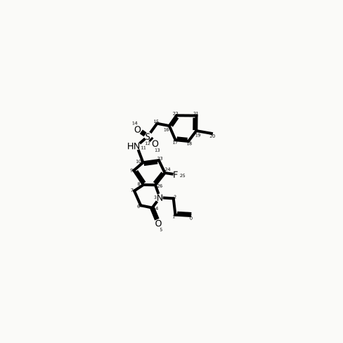 C=CCN1C(=O)CCc2cc(NS(=O)(=O)Cc3ccc(C)cc3)cc(F)c21